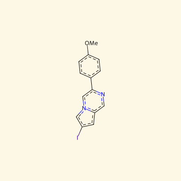 COc1ccc(-c2cn3cc(I)cc3cn2)cc1